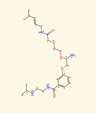 CC(C)/C=C/CNC(=O)COCCOC(N)COc1cccc(C(=O)NCCNC(C)C)c1